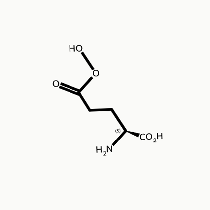 N[C@@H](CCC(=O)OO)C(=O)O